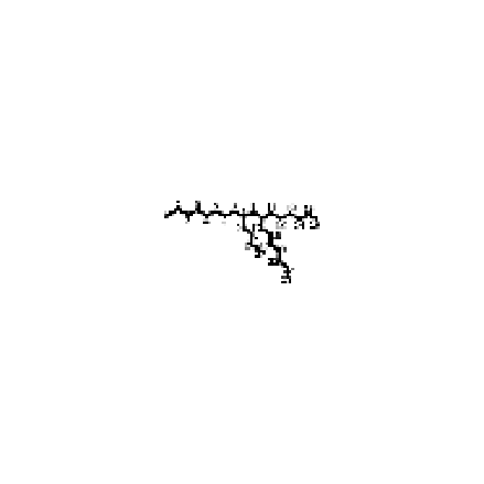 CCCCCCCCC([CH]C(CCCCCC)CCCCCCC)CCCC